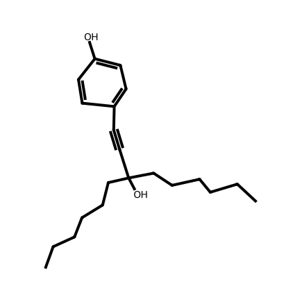 CCCCCCC(O)(C#Cc1ccc(O)cc1)CCCCCC